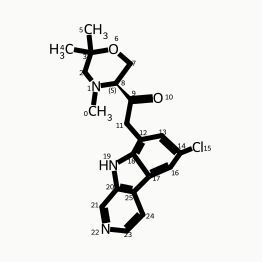 CN1CC(C)(C)OC[C@H]1C(=O)Cc1cc(Cl)cc2c1[nH]c1cnccc12